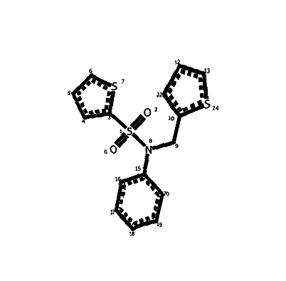 O=S(=O)(c1cccs1)N(Cc1cccs1)c1ccccc1